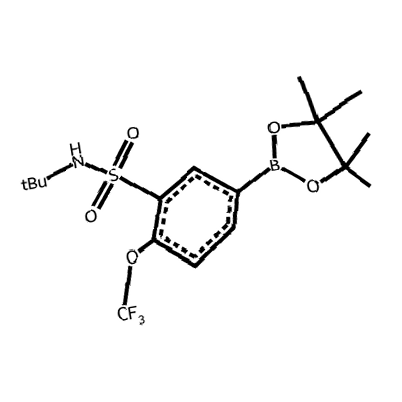 CC(C)(C)NS(=O)(=O)c1cc(B2OC(C)(C)C(C)(C)O2)ccc1OC(F)(F)F